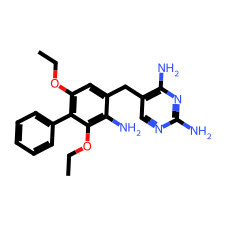 CCOc1cc(Cc2cnc(N)nc2N)c(N)c(OCC)c1-c1ccccc1